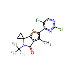 [2H]C([2H])([2H])N1C(=O)c2c(sc(-c3nc(Cl)ncc3F)c2C)C12CC2